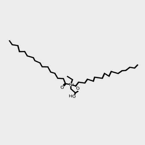 CCCCCCCCCCCCCCCC(=O)[N+](CC)(CC(C)O)C(=O)CCCCCCCCCCCCCCC